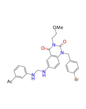 COCCn1c(=O)c2cc(NCNc3cccc(C(C)=O)c3)ccc2n(Cc2ccc(Br)cc2)c1=O